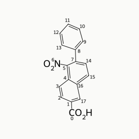 O=C(O)c1ccc2c([N+](=O)[O-])c(-c3ccccc3)ccc2c1